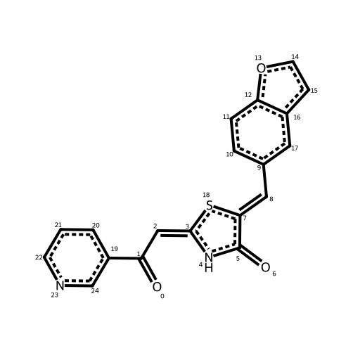 O=C(/C=c1\[nH]c(=O)/c(=C/c2ccc3occc3c2)s1)c1cccnc1